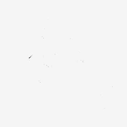 CC[C@H]1[C@H](C)[C@@H](Nc2cc(C)ccn2)c2cc(C(=O)NCCO[Si](C)(C)C(C)(C)C)ccc2N1C(C)=O